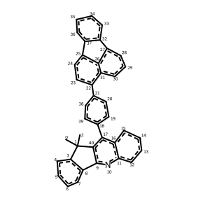 CC1(C)c2ccccc2-c2nc3ccccc3c(-c3ccc(-c4ccc5c6c(cccc46)-c4ccccc4-5)cc3)c21